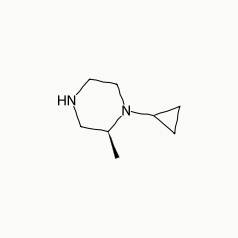 C[C@H]1CNCCN1C1CC1